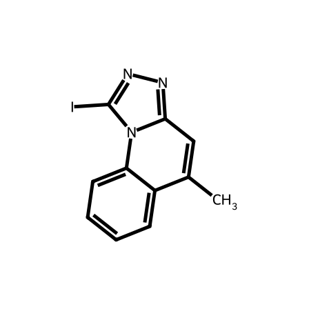 Cc1cc2nnc(I)n2c2ccccc12